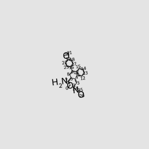 COC(/C=C\C(=C\N)\C=C(/c1ccccc1)c1ccc(OC)cc1)=N/C=O